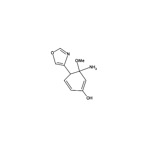 COC1(N)C=C(O)C=CC1c1cocn1